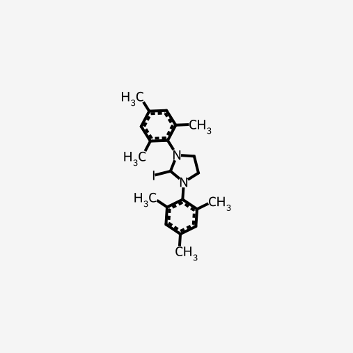 Cc1cc(C)c(N2CCN(c3c(C)cc(C)cc3C)C2I)c(C)c1